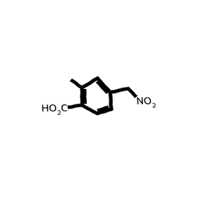 Cc1cc(C[N+](=O)[O-])ccc1C(=O)O